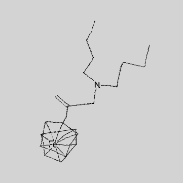 C=C(CN(CCCC)CCCC)[C]12[CH]3[CH]4[CH]5[CH]1[Fe]45321678[CH]2[CH]1[CH]6[CH]7[CH]28